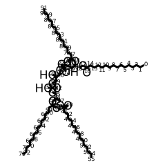 CCCCCCCCCCCCCCCC(=O)OC[C@H](COP(=O)(O)OCC(O)COP(=O)(O)OC[C@@H](COC(=O)CCCCCCCCCCCCCCC)OC(=O)CCCCCCCCCCCCCCC)OC(=O)CCCCCCCCCCCCCCC